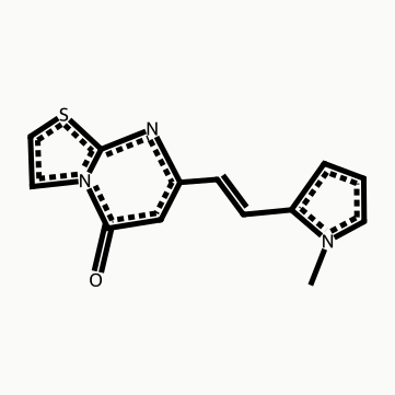 Cn1cccc1/C=C/c1cc(=O)n2ccsc2n1